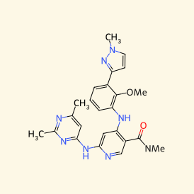 CNC(=O)c1cnc(Nc2cc(C)nc(C)n2)cc1Nc1cccc(-c2ccn(C)n2)c1OC